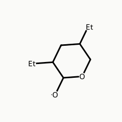 CCC1COC([O])C(CC)C1